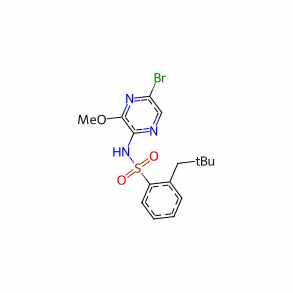 COc1nc(Br)cnc1NS(=O)(=O)c1ccccc1CC(C)(C)C